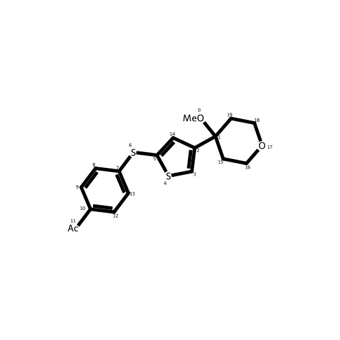 COC1(c2csc(Sc3ccc(C(C)=O)cc3)c2)CCOCC1